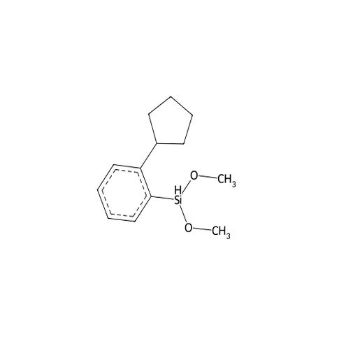 CO[SiH](OC)c1ccccc1C1CCCC1